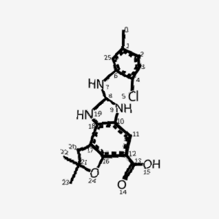 Cc1ccc(Cl)c(NC2Nc3cc(C(=O)O)c4c(c3N2)CC(C)(C)O4)c1